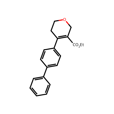 CCOC(=O)C1=C(c2ccc(-c3ccccc3)cc2)CCOC1